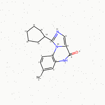 N#Cc1ccc2c(c1)[nH]c(=O)c1cnc(C3CCCCC3)n12